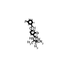 CC(NC(=O)c1ccc(OCc2cccc(F)c2)[nH]c1=O)C(C)(C)C